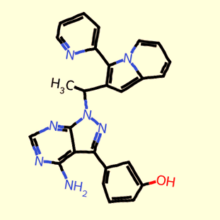 CC(c1cc2ccccn2c1-c1ccccn1)n1nc(-c2cccc(O)c2)c2c(N)ncnc21